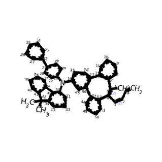 C=C/C=C\C1=C(/C)c2ccccc2-c2ccc(N(c3ccc(-c4ccccc4)cc3)c3cccc4c3-c3ccccc3C4(C)C)cc2-c2ccccc21